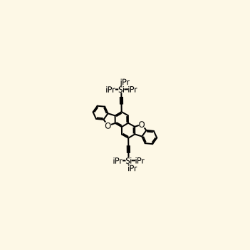 CC(C)[Si](C#Cc1cc2c(cc(C#C[Si](C(C)C)(C(C)C)C(C)C)c3c4ccccc4oc23)c2oc3ccccc3c12)(C(C)C)C(C)C